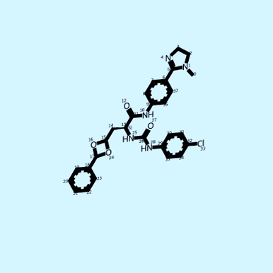 CN1CCN=C1c1ccc(NC(=O)[C@H](CC2OC(c3ccccc3)O2)NC(=O)Nc2ccc(Cl)cc2)cc1